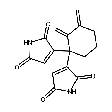 C=C1CCCC(C2=CC(=O)NC2=O)(C2=CC(=O)NC2=O)C1=C